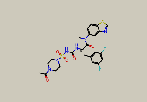 CC(=O)N1CCN(S(=O)(=O)NC(=O)N[C@@H](Cc2cc(F)cc(F)c2)C(=O)N(C)c2ccc3scnc3c2)CC1